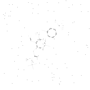 Cc1nc(CC(=O)NC(C)(C)C)c(C=O)c(N[C@H](C)c2cccc(C(F)(F)F)c2)n1